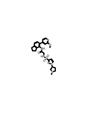 COc1cc(-c2ccc3c(c2NC(=O)CNS(=O)(=O)c2ccn(C4CCN(C)C4)n2)CCC3)ccn1